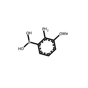 COc1cccc(B(O)O)c1P